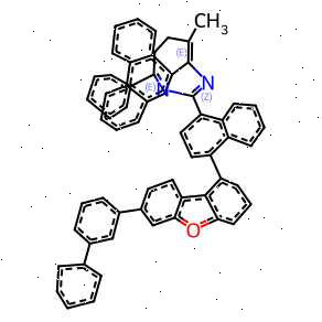 C\C1=C(c2cc3ccccc3c3ccccc23)/N=C(c2ccc(-c3cccc4oc5cc(-c6cccc(-c7ccccc7)c6)ccc5c34)c3ccccc23)\N=C(\c2ccccc2)CC1